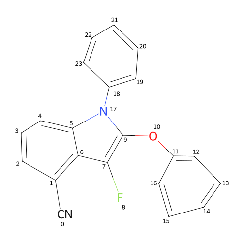 N#Cc1cccc2c1c(F)c(Oc1ccccc1)n2-c1ccccc1